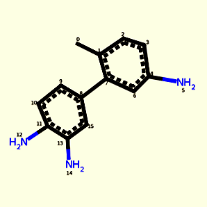 Cc1ccc(N)cc1-c1ccc(N)c(N)c1